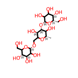 C[C@@H]1OC(CO[C@H]2OC(CO)[C@@H](O)[C@H](O)C2O)[C@@H](O)[C@H](O[C@H]2O[C@@H](CO)[C@@H](O)C(O)C2O)C1O